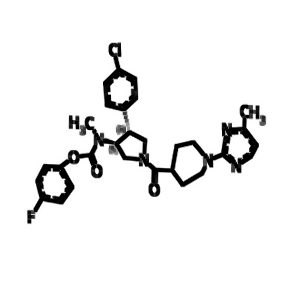 Cc1ccnc(N2CCC(C(=O)N3C[C@@H](N(C)C(=O)Oc4ccc(F)cc4)[C@H](c4ccc(Cl)cc4)C3)CC2)n1